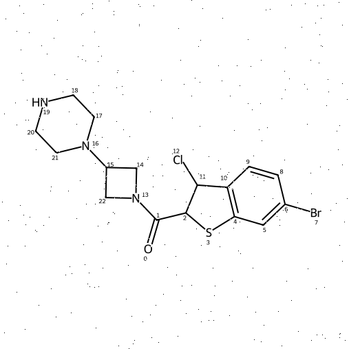 O=C(C1Sc2cc(Br)ccc2C1Cl)N1CC(N2CCNCC2)C1